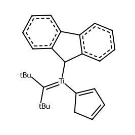 CC(C)(C)[C](=[Ti]([C]1=CC=CC1)[CH]1c2ccccc2-c2ccccc21)C(C)(C)C